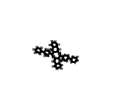 c1ccc(-c2ccc(/C3=N/c4cc5ccccc5nc4/C(c4ccc(-c5ccccc5)cn4)=N\c4cc5ccccc5nc43)nc2)cc1